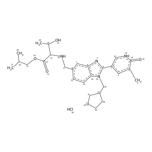 Cc1cc(-c2nc3cc(CNC(C(=O)OCC(C)C)C(C)O)ccc3n2CC2CCOC2)c[nH]c1=O.Cl